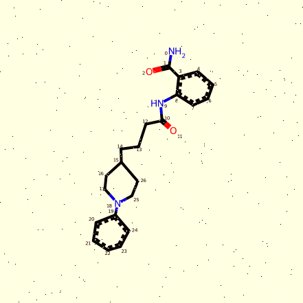 NC(=O)c1ccccc1NC(=O)CCCC1CCN(c2ccccc2)CC1